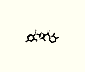 Cc1ccc(Nc2nc(C(=O)N3CCCC(C)C3C)c(C)s2)c(F)c1